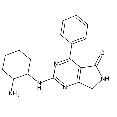 NC1CCCCC1Nc1nc2c(c(-c3ccccc3)n1)C(=O)NC2